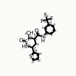 CN1C(C(=O)Nc2cccc(C(F)(F)F)c2)CC(c2cccs2)N[S+]1[O-]